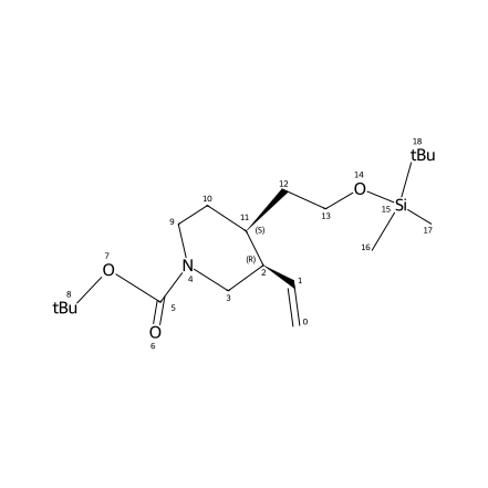 C=C[C@H]1CN(C(=O)OC(C)(C)C)CC[C@H]1CCO[Si](C)(C)C(C)(C)C